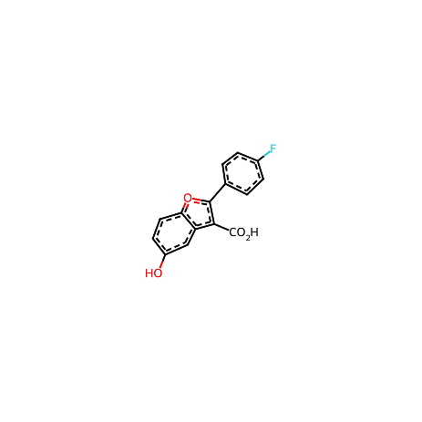 O=C(O)c1c(-c2ccc(F)cc2)oc2ccc(O)cc12